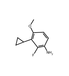 COc1ccc(N)c(F)c1C1CC1